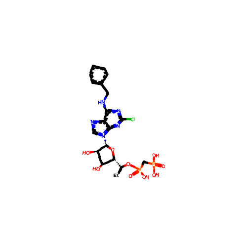 CCC(OP(=O)(O)CP(=O)(O)O)[C@H]1O[C@@H](n2cnc3c(NCc4ccccc4)nc(Cl)nc32)[C@H](O)[C@@H]1O